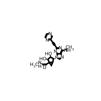 CNc1nc(C#Cc2cnccn2)nc2c1ncn2[C@@H]1C2CC2(C2O[C@@H]2NC)[C@@H](O)[C@H]1O